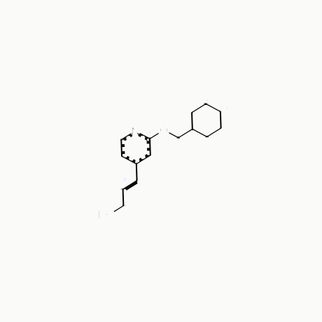 CC/C=C/c1ccnc(OCC2CCCCC2)c1